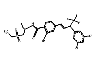 CC(CS(=O)(=O)CC(F)(F)F)NC(=O)c1ccc(/C=C/C(c2cc(Cl)cc(Cl)c2)C(C)(F)F)cc1Br